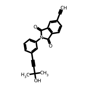 C#Cc1ccc2c(c1)C(=O)N(c1cccc(C#CC(C)(C)O)c1)C2=O